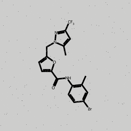 Cc1cc(Br)ccc1NC(=O)c1ccc(Cn2nc(C(F)(F)F)cc2C)o1